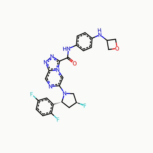 O=C(Nc1ccc(NC2COC2)cc1)c1nnc2cnc(N3C[C@@H](F)C[C@@H]3c3cc(F)ccc3F)cn12